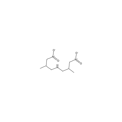 CC(CNCC(C)C[N+](=O)[O-])C[N+](=O)[O-]